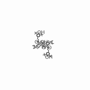 CCN(CC)c1cc(NC(=O)CCc2cc(C(C)(C)C)c(O)c(C(C)(C)C)c2)c(C2=C(O)/C(=C3/C=C(C)C(=[N+](CC)CC)C=C3NC(=O)CCc3cc(C(C)(C)C)c(O)c(C(C)(C)C)c3)C2=O)cc1C